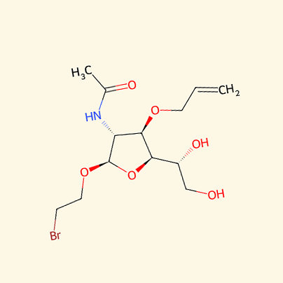 C=CCO[C@@H]1[C@@H](NC(C)=O)[C@H](OCCBr)O[C@@H]1[C@H](O)CO